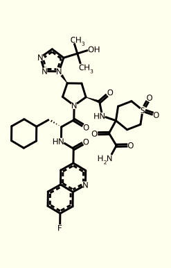 CC(C)(O)c1cnnn1[C@H]1C[C@@H](C(=O)NC2(C(=O)C(N)=O)CCS(=O)(=O)CC2)N(C(=O)[C@@H](CC2CCCCC2)NC(=O)c2cnc3cc(F)ccc3c2)C1